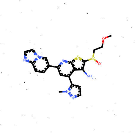 COCC[S+]([O-])c1sc2nc(-c3ccc4nccn4c3)cc(-c3ccnn3C)c2c1N